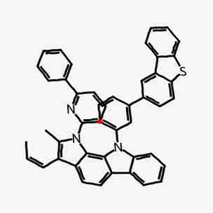 C/C=C\c1c(C)n(-c2cccc(-c3ccccc3)n2)c2c1ccc1c3ccccc3n(-c3cccc(-c4ccc5sc6ccccc6c5c4)c3)c12